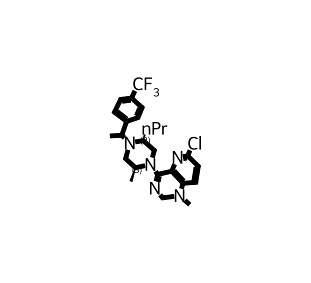 CCC[C@@H]1CN(C2=NCN(C)c3ccc(Cl)nc32)[C@@H](C)CN1C(C)c1ccc(C(F)(F)F)cc1